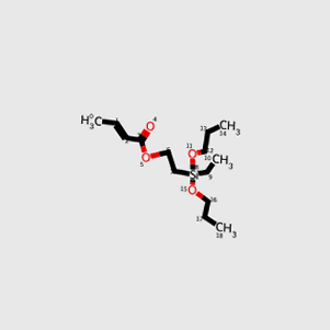 CC=CC(=O)OCC[Si](CC)(OCCC)OCCC